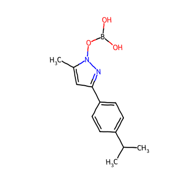 Cc1cc(-c2ccc(C(C)C)cc2)nn1OB(O)O